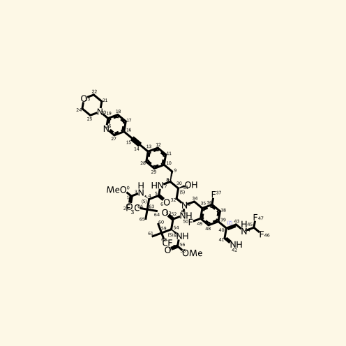 COC(=O)N[C@H](C(=O)N[C@@H](Cc1ccc(C#Cc2ccc(N3CCOCC3)nc2)cc1)[C@@H](O)CN(Cc1c(F)cc(/C(C=N)=C/NC(F)F)cc1F)NC(=O)[C@@H](NC(=O)OC)C(C)(C)C(F)(F)F)C(C)(C)C(F)(F)F